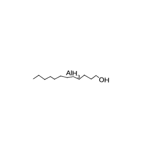 CCCCCCCCCCCCO.[AlH3]